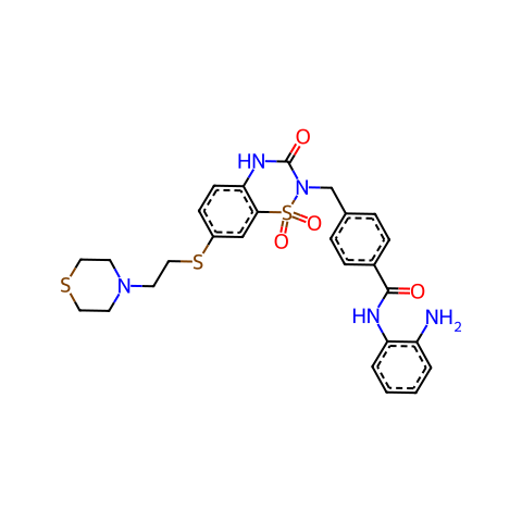 Nc1ccccc1NC(=O)c1ccc(CN2C(=O)Nc3ccc(SCCN4CCSCC4)cc3S2(=O)=O)cc1